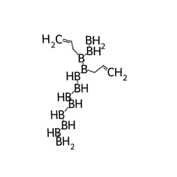 BBBBBBBBB(CC=C)B(BB)CC=C